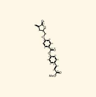 C=C1CC(COc2ccc(C(=O)Oc3ccc(/C=C/C(=O)OC)cc3)cc2)OC1=O